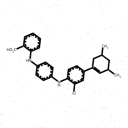 CC1C=C(c2ccc(Nc3ccc(Nc4ccccc4C(=O)O)cc3)c(Cl)c2)CC(C)C1